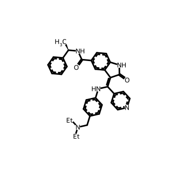 CCN(CC)Cc1ccc(NC(=C2C(=O)Nc3ccc(C(=O)N[C@H](C)c4ccccc4)cc32)c2ccncc2)cc1